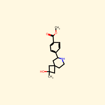 COC(=O)c1ccc(C2CC3(CCN2)CC(C)(O)C3)cc1